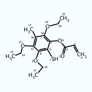 C=CC(=O)Oc1c(S)c(OCC)c(OCC)c(C)c1OCC